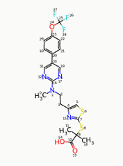 CN(CCc1csc(SC(C)(C)C(=O)O)n1)c1ncc(-c2ccc(OC(F)(F)F)cc2)cn1